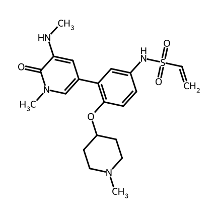 C=CS(=O)(=O)Nc1ccc(OC2CCN(C)CC2)c(-c2cc(NC)c(=O)n(C)c2)c1